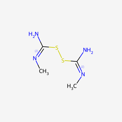 C/N=C(/N)SS/C(N)=N\C